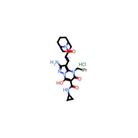 CC(C)Cn1c(=O)c(C(=O)NC2CC2)c(O)n2nc(N)c(/C=C/C(=O)N3C4CCCC3COC4)c12.Cl